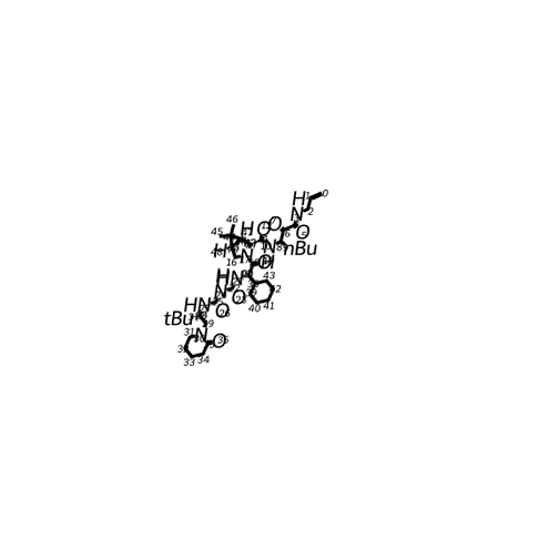 C=CCNC(=O)C(=O)C(CCCC)NC(=O)[C@@H]1[C@@H]2[C@H](CN1C(=O)[C@@H](NC(=O)NC(=O)N[C@H](CN1CCCCC1=O)C(C)(C)C)C1CCCCC1)C2(C)C